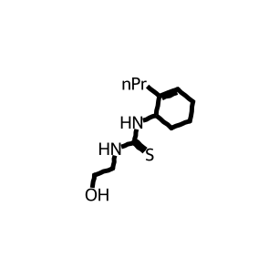 CCCC1=CCCCC1NC(=S)NCCO